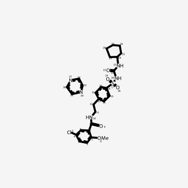 COc1ccc(Cl)cc1C(=O)NCCc1ccc(S(=O)(=O)NC(=O)NC2CCCCC2)cc1.c1cnccn1